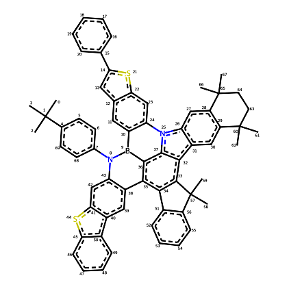 CC(C)(C)c1ccc(N2B3c4cc5cc(-c6ccccc6)sc5cc4-n4c5cc6c(cc5c5c7c(c(c3c54)-c3cc4c(cc32)sc2ccccc24)-c2ccccc2C7(C)C)C(C)(C)CCC6(C)C)cc1